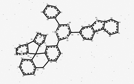 c1ccc(-c2nc(-c3ccc4c(c3)C3(c5ccccc5C4)c4ccccc4-c4ccccc43)nc(-c3ccc4c(c3)sc3ccccc34)n2)cc1